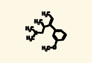 CC=C(c1cccc(OC)c1)[C@H](C)CN(C)C